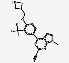 Cn1ccc2c(-c3ccc(OCC4CNC4)c(C(F)(F)F)c3)nc(C#N)nc21